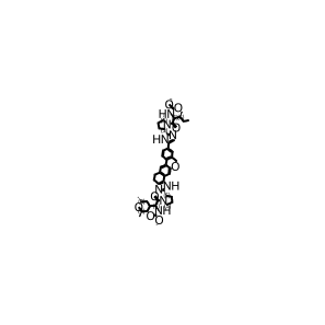 CC[C@H](C)[C@H](NC(=O)OC)C(=O)N1[C@@H](C)CC[C@H]1c1ncc(-c2ccc3c(c2)COc2cc4c(cc2-3)CCc2nc([C@@H]3CC[C@H](C)N3C(=O)[C@@H](NC(=O)OC)C3C[C@@H](C)O[C@H](C)C3)[nH]c2-4)[nH]1